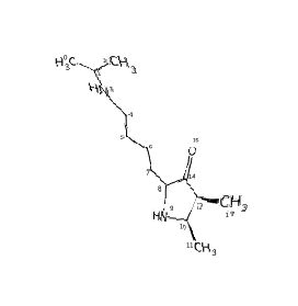 CC(C)NCCCCC1N[C@H](C)[C@H](C)C1=O